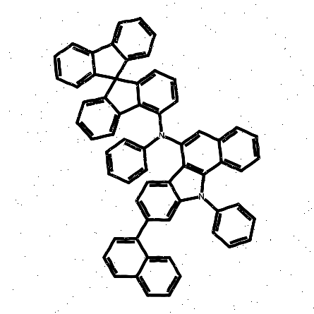 c1ccc(N(c2cccc3c2-c2ccccc2C32c3ccccc3-c3ccccc32)c2cc3ccccc3c3c2c2ccc(-c4cccc5ccccc45)cc2n3-c2ccccc2)cc1